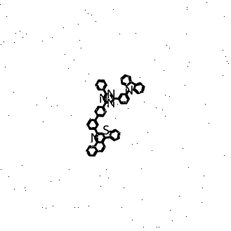 c1ccc(-c2nc(-c3ccc(-c4cccc(-c5nc6c7ccccc7ccc6c6c5sc5ccccc56)c4)cc3)nc(-c3cccc(-n4c5ccccc5c5ccccc54)c3)n2)cc1